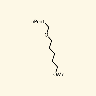 CCCCCCOCCCCCOC